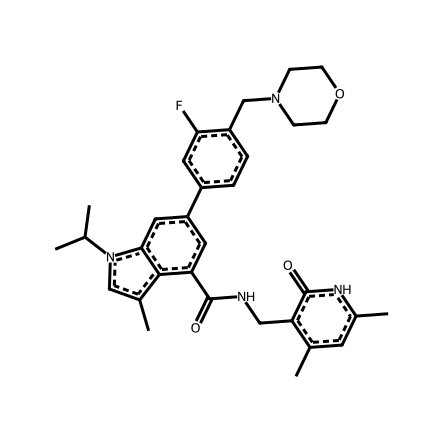 Cc1cc(C)c(CNC(=O)c2cc(-c3ccc(CN4CCOCC4)c(F)c3)cc3c2c(C)cn3C(C)C)c(=O)[nH]1